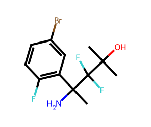 CC(C)(O)C(F)(F)C(C)(N)c1cc(Br)ccc1F